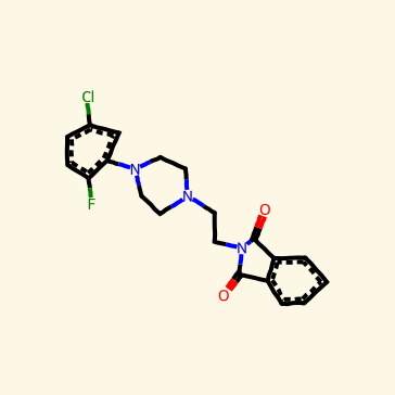 O=C1c2ccccc2C(=O)N1CCN1CCN(c2cc(Cl)ccc2F)CC1